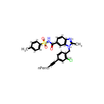 CCCCCC#Cc1ccc(Cn2c(C)nc3ccc(C(=O)NS(=O)(=O)c4ccc(C)cc4)cc32)c(Cl)c1